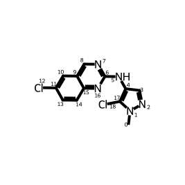 Cn1ncc(Nc2ncc3cc(Cl)ccc3n2)c1Cl